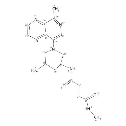 CNC(=O)CCC(=O)NC1CC(C)CN(c2cnc(C)c3ncccc23)C1